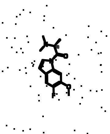 COc1cc2c(ccn2C(=O)[C@H](C)N(C)C)cc1F